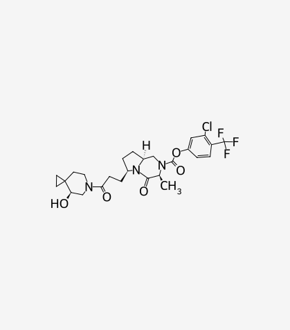 C[C@H]1C(=O)N2[C@@H](CCC(=O)N3CCC4(CC4)[C@H](O)C3)CC[C@H]2CN1C(=O)Oc1ccc(C(F)(F)F)c(Cl)c1